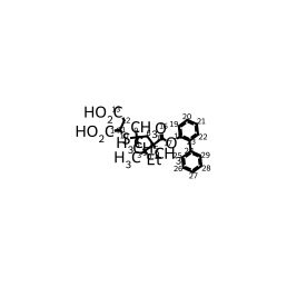 CCC(C)(C)C(C)(CC(C)(C)SC(CC(=O)O)C(=O)O)C(=O)Oc1ccccc1-c1ccccc1